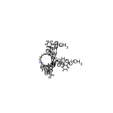 CCOC(=O)c1ccccc1NC(=O)O[C@@H]1C[C@H]2C(=O)N[C@]3(C(=O)NS(=O)(=O)C4CC4)C[C@H]3/C=C\CCCCC[C@H](NC(=O)Nc3ccccc3C3OC(C)O3)C(=O)N2C1